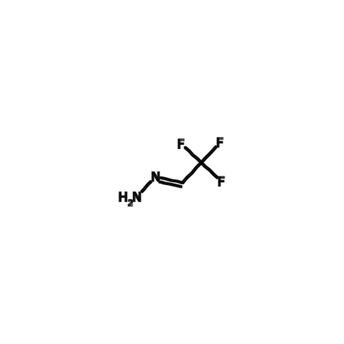 N/N=C/C(F)(F)F